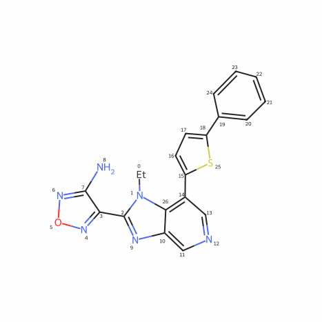 CCn1c(-c2nonc2N)nc2cncc(-c3ccc(-c4ccccc4)s3)c21